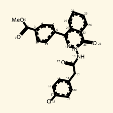 COC(=O)c1ccc(-c2nn(NC(=O)Cc3ccc(Cl)cc3)c(=O)c3ccccc23)cc1